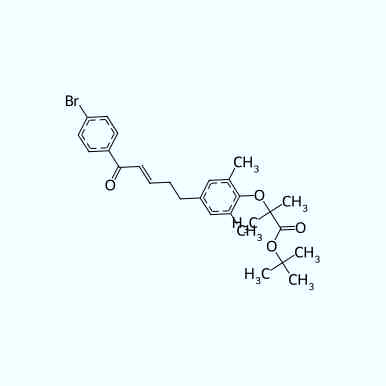 Cc1cc(CC/C=C/C(=O)c2ccc(Br)cc2)cc(C)c1OC(C)(C)C(=O)OC(C)(C)C